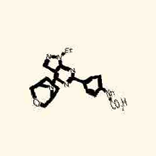 CCn1ncc2c(N3C4CCC3COC4)nc(-c3ccc(NC(=O)O)cc3)nc21